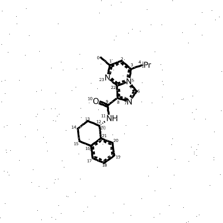 Cc1cc(C(C)C)n2cnc(C(=O)N[C@H]3CCCc4ccccc43)c2n1